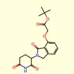 CC(C)(C)OC(=O)COc1cccc2c1C(=O)N(C1CCC(=O)NC1=O)C2